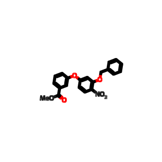 COC(=O)c1cccc(Oc2ccc([N+](=O)[O-])c(OCc3ccccc3)c2)c1